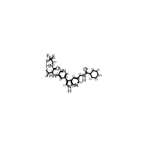 CC(C)C(Nc1cncc(-c2c[nH]c3ncc(CNC(=O)C4CCCCC4)cc23)c1)C(=O)NCC(F)(F)F